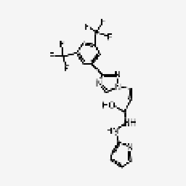 OC(/C=C\n1cnc(-c2cc(C(F)(F)F)cc(C(F)(F)F)c2)n1)NNc1ccccn1